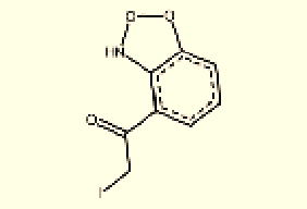 O=C(CI)c1cccc2c1NOO2